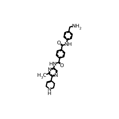 Cc1nc(NC(=O)c2ccc(C(=O)Nc3ccc(CN)cc3)cc2)cnc1C1=CCNCC1